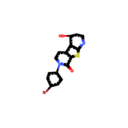 O=c1c2sc3nccc(O)c3c2ccn1-c1ccc(Br)cc1